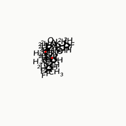 [2H]c1c([2H])c(CSc2nc(=O)c3c(n2C([2H])([2H])C(=O)N(CCN(C([2H])([2H])C)C([2H])([2H])C)Cc2c([2H])c([2H])c(-c4c([2H])c([2H])c(C(F)(F)F)c(C)c4[2H])c([2H])c2[2H])C([2H])([2H])C([2H])([2H])C3([2H])[2H])c([2H])c([2H])c1F